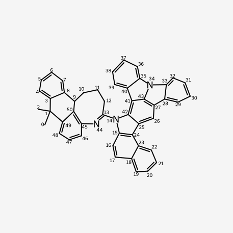 CC1(C)c2ccccc2C2CCC/C(n3c4ccc5ccccc5c4c4cc5c6ccccc6n6c7ccccc7c(c43)c56)=N\c3cccc1c32